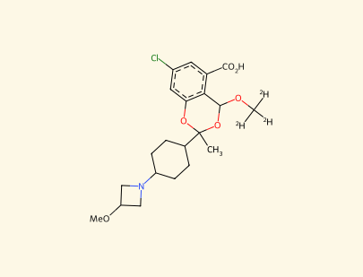 [2H]C([2H])([2H])OC1OC(C)(C2CCC(N3CC(OC)C3)CC2)Oc2cc(Cl)cc(C(=O)O)c21